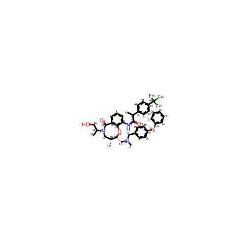 CC(C(=O)Nc1cccc2c1O[C@H](CN(C)Cc1ccc(Sc3ccccc3)cc1)[C@H](C)CN(C(C)CO)C2=O)c1ccc(C(F)(F)F)cc1